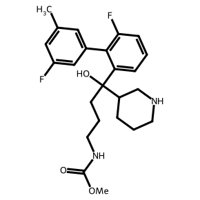 COC(=O)NCCCC(O)(c1cccc(F)c1-c1cc(C)cc(F)c1)C1CCCNC1